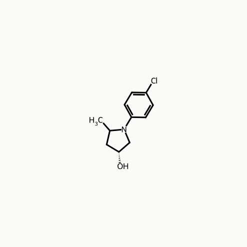 CC1C[C@@H](O)CN1c1ccc(Cl)cc1